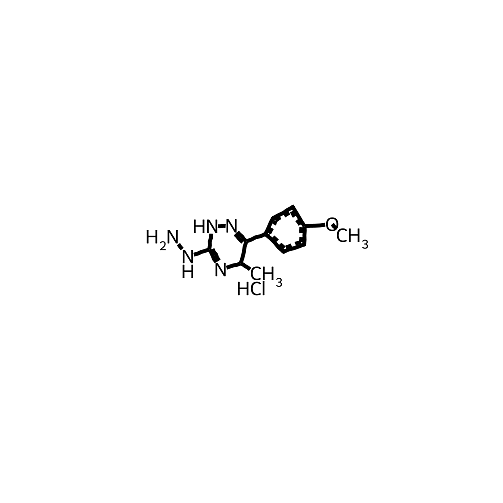 COc1ccc(C2=NNC(NN)=NC2C)cc1.Cl